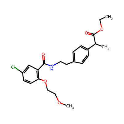 CCOC(=O)C(C)c1ccc(CCNC(=O)c2cc(Cl)ccc2OCCOC)cc1